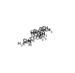 COc1c(C)c(-c2ccc(NCC=C(C)C)cc2)c(OC)c(C)c1/C=C(\C)C(=O)NC(C)C